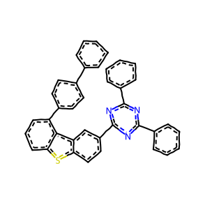 c1ccc(-c2ccc(-c3cccc4sc5ccc(-c6nc(-c7ccccc7)nc(-c7ccccc7)n6)cc5c34)cc2)cc1